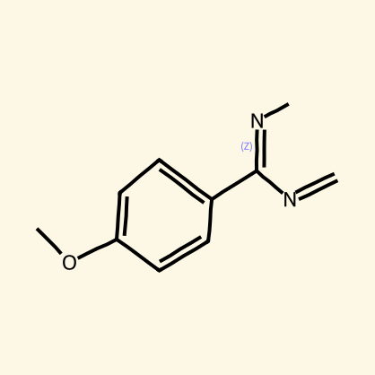 C=N/C(=N\C)c1ccc(OC)cc1